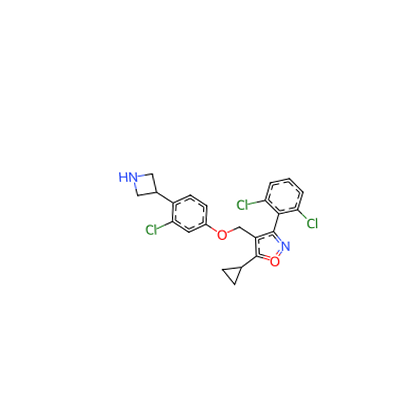 Clc1cc(OCc2c(-c3c(Cl)cccc3Cl)noc2C2CC2)ccc1C1CNC1